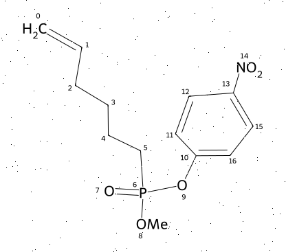 C=CCCCCP(=O)(OC)Oc1ccc([N+](=O)[O-])cc1